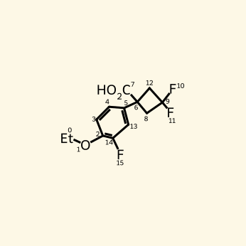 CCOc1ccc(C2(C(=O)O)CC(F)(F)C2)cc1F